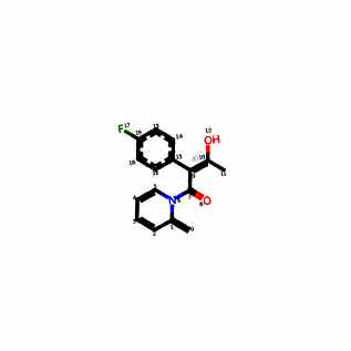 C=C1C=CC=CN1C(=O)/C(=C(\C)O)c1ccc(F)cc1